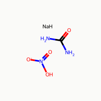 NC(N)=O.O=[N+]([O-])O.[NaH]